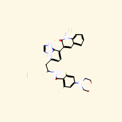 Cn1c(=O)c(-c2ccc(CC(NC(=O)c3c(F)cc(N4CCOC[C@H]4C(F)(F)F)cc3F)C(=O)O)n3ccnc23)cc2ccccc21